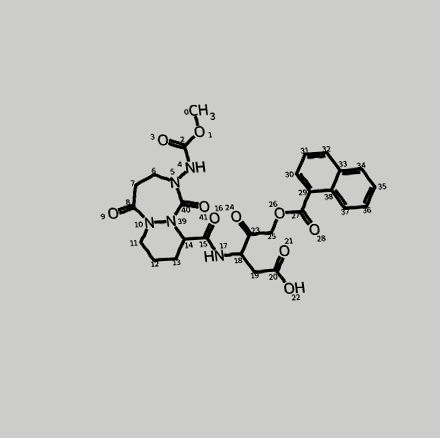 COC(=O)NN1CCC(=O)N2CCCC(C(=O)NC(CC(=O)O)C(=O)COC(=O)c3cccc4ccccc34)N2C1=O